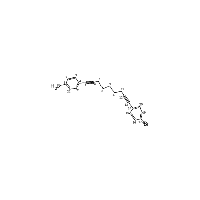 Bc1ccc(C#CCCCCCC#Cc2ccc(Br)cc2)cc1